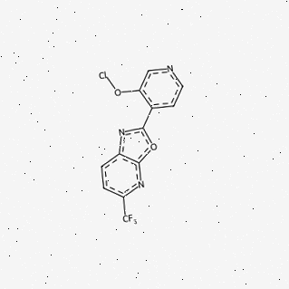 FC(F)(F)c1ccc2nc(-c3ccncc3OCl)oc2n1